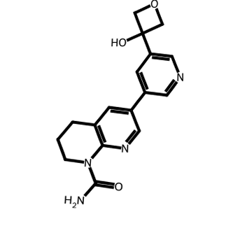 NC(=O)N1CCCc2cc(-c3cncc(C4(O)COC4)c3)cnc21